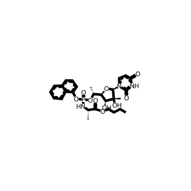 CCCCOC(=O)[C@H](C)NP(=O)(Oc1cccc2ccccc12)O[C@H](C)[C@H]1O[C@@H](n2ccc(=O)[nH]c2=O)[C@](C)(O)[C@@H]1O